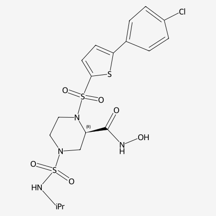 CC(C)NS(=O)(=O)N1CCN(S(=O)(=O)c2ccc(-c3ccc(Cl)cc3)s2)[C@@H](C(=O)NO)C1